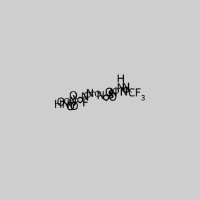 O=C1CCC(N2C(=O)c3cc(F)c(N4CCN(CC5CCN(c6cccc(S(=O)(=O)N7CCC(Nc8ncc(C(F)(F)F)cn8)CC7)c6)CC5)CC4)cc3C2=O)C(=O)N1